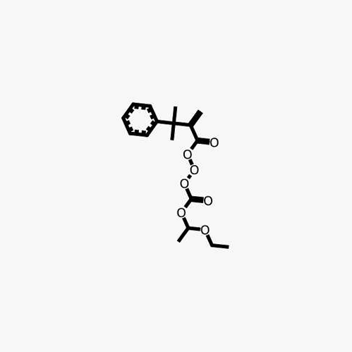 C=C(C(=O)OOOC(=O)OC(C)OCC)C(C)(C)c1ccccc1